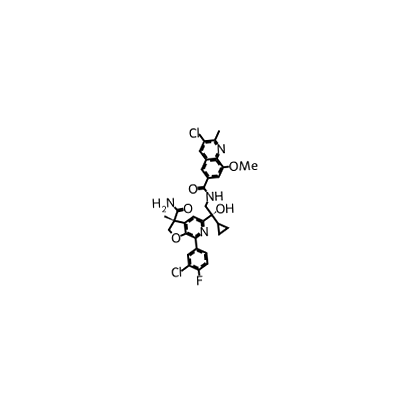 COc1cc(C(=O)NC[C@](O)(c2cc3c(c(-c4ccc(F)c(Cl)c4)n2)OC[C@]3(C)C(N)=O)C2CC2)cc2cc(Cl)c(C)nc12